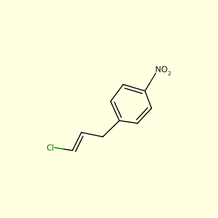 O=[N+]([O-])c1ccc(CC=CCl)cc1